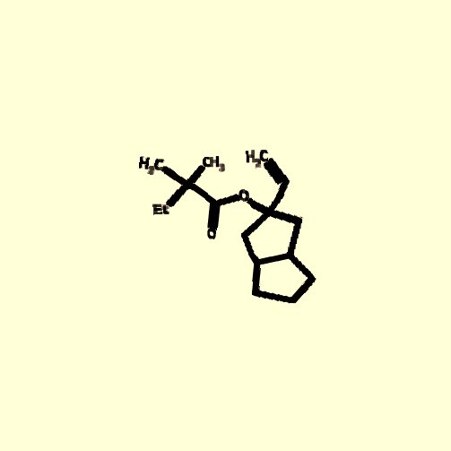 C=CC1(OC(=O)C(C)(C)CC)CC2CCCC2C1